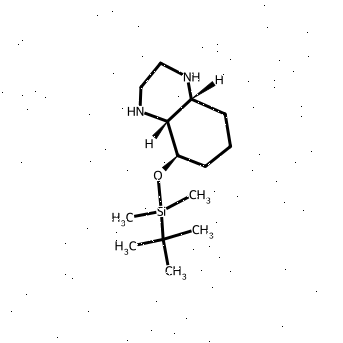 CC(C)(C)[Si](C)(C)O[C@@H]1CCC[C@H]2NCCN[C@H]21